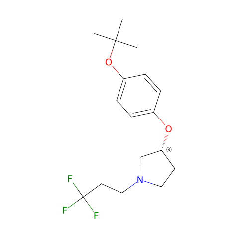 CC(C)(C)Oc1ccc(O[C@@H]2CCN(CCC(F)(F)F)C2)cc1